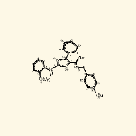 COc1ccccc1Nc1nc(-c2ccccc2)c(C(=O)NCc2ccc(C(C)(C)C)cc2)s1